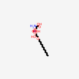 CCCCCCCCCCCCCOCC(O)COP(=O)(O)OCC(N)C(=O)O